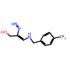 N=N/C(=C\NCc1ccc(C(F)(F)F)cc1)CO